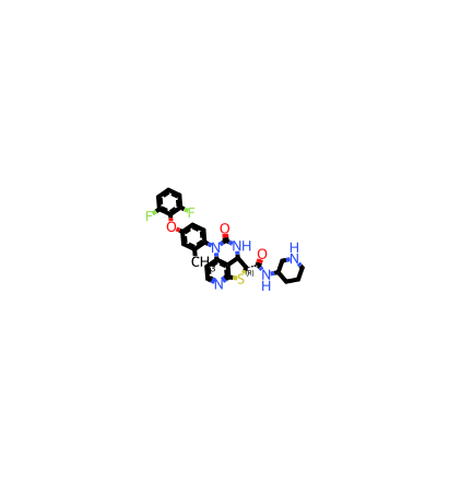 Cc1cc(Oc2c(F)cccc2F)ccc1N1C(=O)NC2c3c1ccnc3S[C@H]2C(=O)NC1CCCNC1